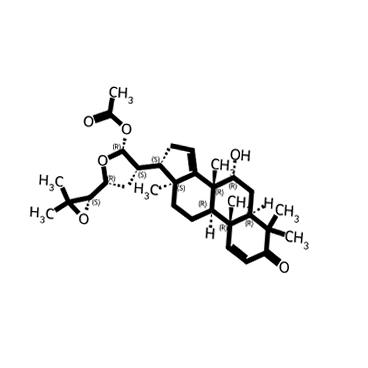 CC(=O)O[C@H]1O[C@@H]([C@@H]2OC2(C)C)C[C@H]1[C@@H]1CC=C2[C@]3(C)[C@H](O)C[C@H]4C(C)(C)C(=O)C=C[C@]4(C)[C@H]3CC[C@]21C